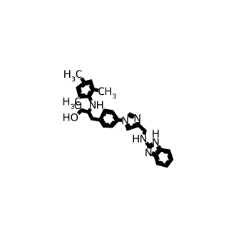 Cc1cc(C)c(NC(Cc2ccc(-n3cnc(CNc4nc5ccccc5[nH]4)c3)cc2)C(=O)O)c(C)c1